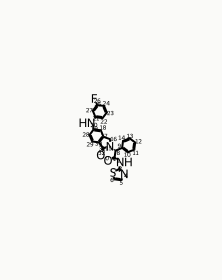 O=C(Nc1nccs1)[C@@H](c1ccccc1)N1Cc2cc(Nc3cccc(F)c3)ccc2C1=O